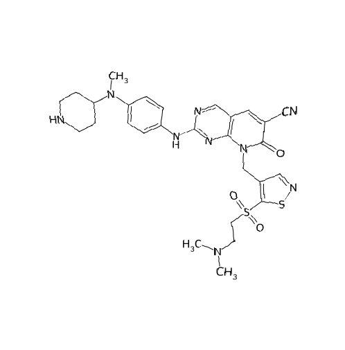 CN(C)CCS(=O)(=O)c1sncc1Cn1c(=O)c(C#N)cc2cnc(Nc3ccc(N(C)C4CCNCC4)cc3)nc21